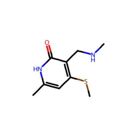 CNCc1c(SC)cc(C)[nH]c1=O